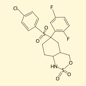 O=S1(=O)NC2CCC(c3cc(F)ccc3F)(S(=O)(=O)c3ccc(Cl)cc3)CC2CO1